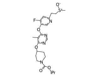 Cc1c(Oc2cnc(CC[S+](C)[O-])cc2F)ncnc1OC1CCN(C(=O)OC(C)C)CC1